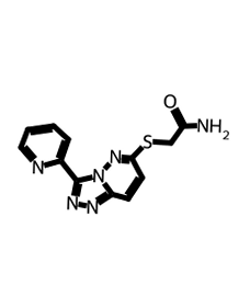 NC(=O)CSc1ccc2nnc(-c3ccccn3)n2n1